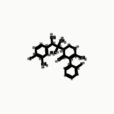 CC1=C(c2ccccc2F)C(=O)N(C(C)(C)C(O)c2ccc(F)c(C)c2)CO1